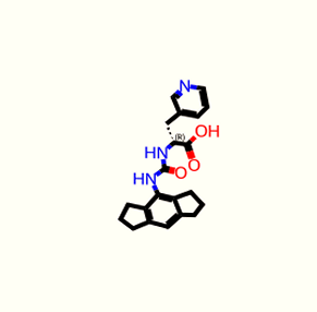 O=C(Nc1c2c(cc3c1CCC3)CCC2)N[C@H](Cc1cccnc1)C(=O)O